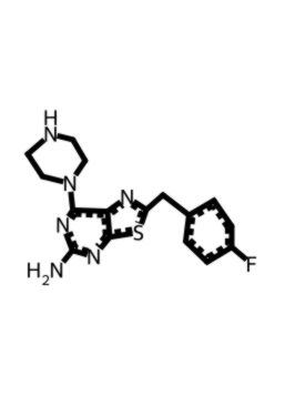 Nc1nc(N2CCNCC2)c2nc(Cc3ccc(F)cc3)sc2n1